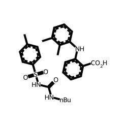 CCCCNC(=O)NS(=O)(=O)c1ccc(C)cc1.Cc1cccc(Nc2ccccc2C(=O)O)c1C